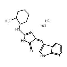 CC1CCCCC1NC1=NC(=Cc2c[nH]c3ncccc23)C(=O)N1.Cl.Cl